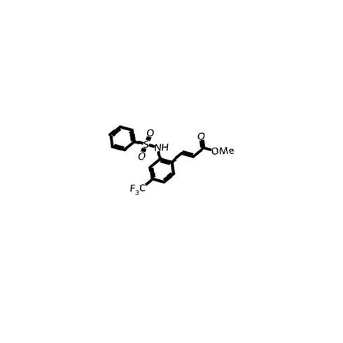 COC(=O)/C=C/c1ccc(C(F)(F)F)cc1NS(=O)(=O)c1ccccc1